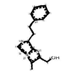 Cc1c(CO)nc2c(CCc3ccccc3)nccn12